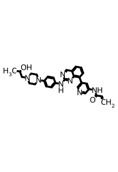 C=CC(=O)Nc1cncc(-c2cccc3cnc(Nc4ccc(N5CCN(CC(C)O)CC5)cc4)nc23)c1